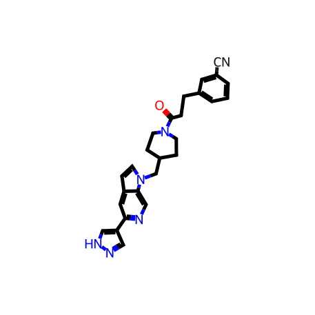 N#Cc1cccc(CCC(=O)N2CCC(Cn3ccc4cc(-c5cn[nH]c5)ncc43)CC2)c1